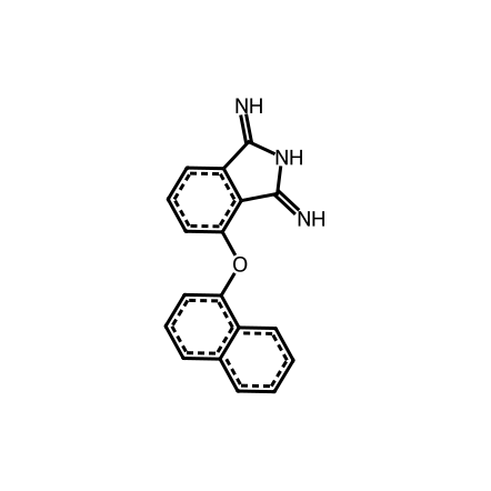 N=C1NC(=N)c2c(Oc3cccc4ccccc34)cccc21